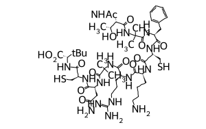 CC(=O)N[C@H](C(=O)NC(C)(C)C(=O)N[C@@H](Cc1ccccc1)C(=O)N[C@@H](CS)C(=O)N[C@@H](CCCCN)C(=O)N[C@@H](CCCNC(=N)N)C(=O)NC(C)(C)C(=O)N[C@@H](CC(N)=O)C(=O)N[C@@H](CS)C(=O)N[C@H](C(=O)O)C(C)(C)C)[C@@H](C)O